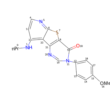 CCCNc1ccnc2sc3c(=O)n(-c4ccc(OC)cc4)cnc3c12